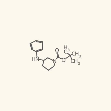 CC(C)(C)OC(=O)N1CCCC(Nc2ccccc2)C1